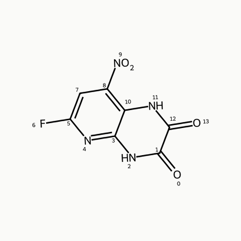 O=c1[nH]c2nc(F)cc([N+](=O)[O-])c2[nH]c1=O